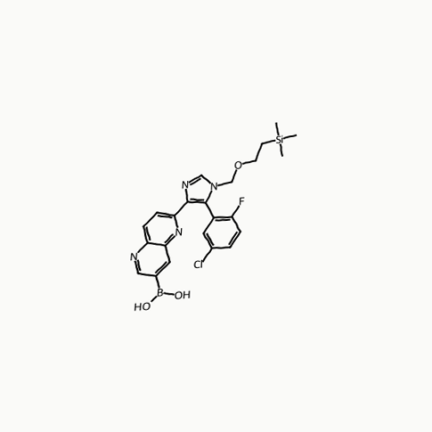 C[Si](C)(C)CCOCn1cnc(-c2ccc3ncc(B(O)O)cc3n2)c1-c1cc(Cl)ccc1F